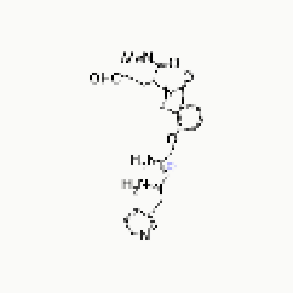 CNC(=O)C(CCC=O)N1Cc2c(OC/C(N)=C/N(N)Cc3cccnc3)cccc2C1=O